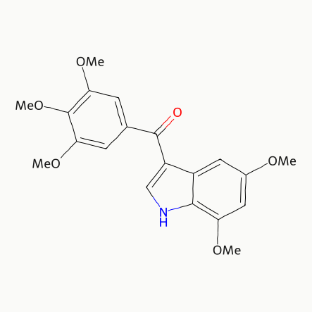 COc1cc(OC)c2[nH]cc(C(=O)c3cc(OC)c(OC)c(OC)c3)c2c1